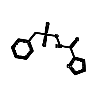 O=C(N[N]S(=O)(=O)Cc1ccccc1)c1ccco1